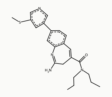 CCCN(CCC)C(=O)C1=Cc2ccc(-c3cncc(SC)c3)cc2N=C(N)C1